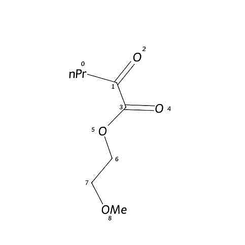 CCCC(=O)C(=O)OCCOC